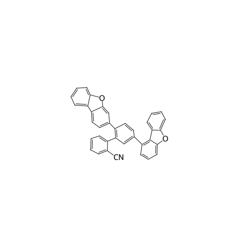 N#Cc1ccccc1-c1cc(-c2cccc3oc4ccccc4c23)ccc1-c1ccc2c(c1)oc1ccccc12